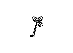 C=C[Si](C)(C)CCCCCCCC[Si](N1CCOCC1)(N1CCOCC1)N1CCOCC1